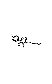 CCCCCCC(=O)NS(=O)(=O)c1ccc(C)cc1